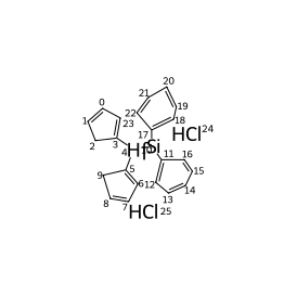 C1=CC[C]([Hf]([C]2=CC=CC2)=[Si](c2ccccc2)c2ccccc2)=C1.Cl.Cl